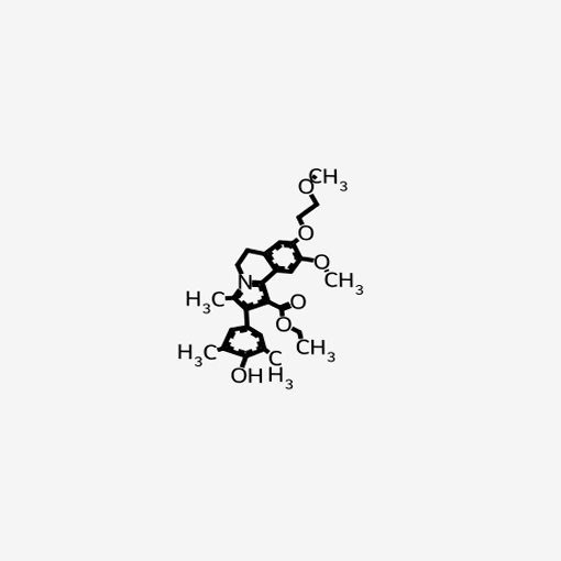 CCOC(=O)c1c(-c2cc(C)c(O)c(C)c2)c(C)n2c1-c1cc(OC)c(OCCOC)cc1CC2